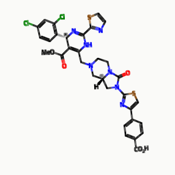 COC(=O)C1=C(CN2CCN3C(=O)N(c4nc(-c5ccc(C(=O)O)cc5)cs4)C[C@@H]3C2)NC(c2nccs2)=N[C@H]1c1ccc(Cl)cc1Cl